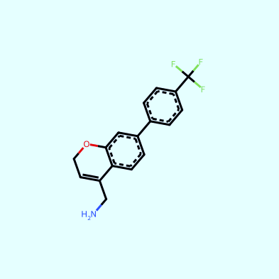 NCC1=CCOc2cc(-c3ccc(C(F)(F)F)cc3)ccc21